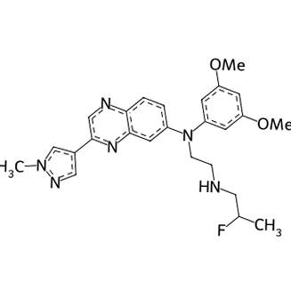 COc1cc(OC)cc(N(CCNCC(C)F)c2ccc3ncc(-c4cnn(C)c4)nc3c2)c1